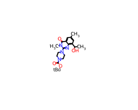 Cc1cc(C(C)O)c2nc(N3CCN(C(=O)OC(C)(C)C)CC3)n(C)c(=O)c2c1